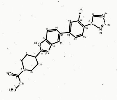 CC(C)(C)OC(=O)N1CCC(c2nc3cc(-c4ccc(-n5cnnn5)c(F)c4)ccc3o2)CC1